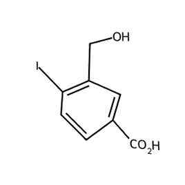 O=C(O)c1ccc(I)c(CO)c1